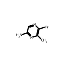 Cc1nc(N)cnc1C(C)C